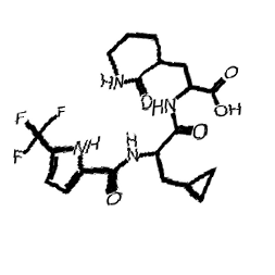 O=C(NC(CC1CC1)C(=O)NC(CC1CCCNC1=O)C(=O)O)c1ccc(C(F)(F)F)[nH]1